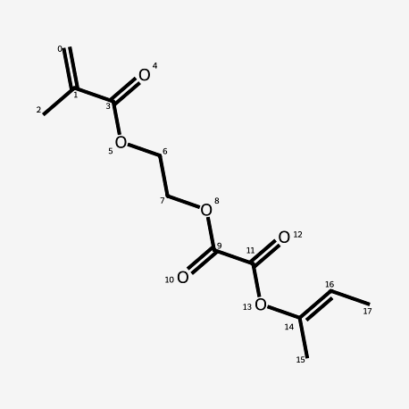 C=C(C)C(=O)OCCOC(=O)C(=O)OC(C)=CC